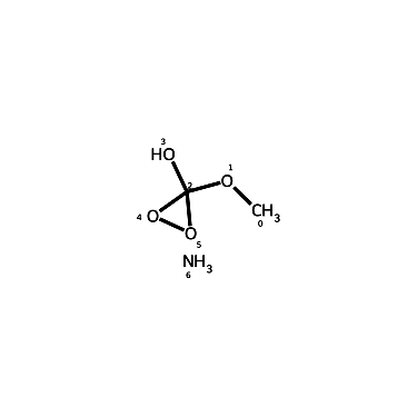 COC1(O)OO1.N